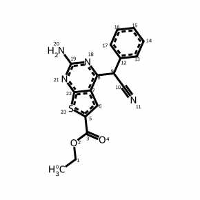 CCOC(=O)c1cc2c(C(C#N)c3ccccc3)nc(N)nc2s1